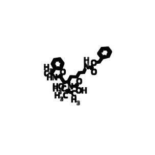 C[C@@H](NC(=O)C(O)C(CCCCNC(=O)OCc1ccccc1)N(C(=O)O)C(C)(C)C)c1ccccc1